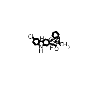 CNC(=O)C(F)(C1C=C2Nc3ccc(Cl)cc3[C@H]2CC1)S(=O)(=O)c1ccccc1